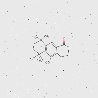 CC1(C)CCC(C)(C)c2c1cc1c(c2[N+](=O)[O-])CCCC1=O